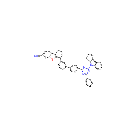 N#Cc1ccc2c(c1)oc1c(-c3cccc(-c4ccc(-c5nc(-c6ccccc6)nc(-n6c7ccccc7c7ccccc76)n5)cc4)c3)cccc12